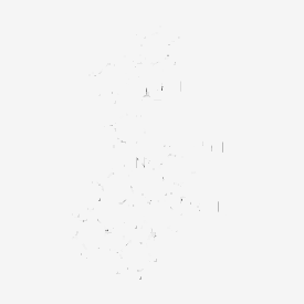 COc1cc(OC)cc(N(c2ccc(-c3cccc4c3C(C)(C)c3ccccc3-4)cc2)c2ccc3c(c2)C(c2ccccc2)(c2ccccc2)c2ccccc2-3)c1